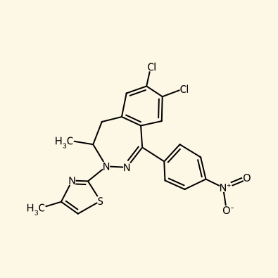 Cc1csc(N2N=C(c3ccc([N+](=O)[O-])cc3)c3cc(Cl)c(Cl)cc3CC2C)n1